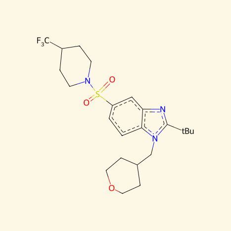 CC(C)(C)c1nc2cc(S(=O)(=O)N3CCC(C(F)(F)F)CC3)ccc2n1CC1CCOCC1